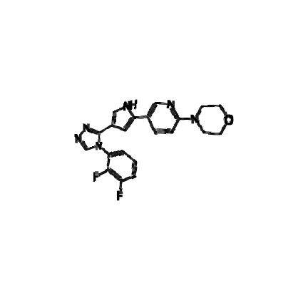 Fc1cccc(-n2cnnc2-c2c[nH]c(-c3ccc(N4CCOCC4)nc3)c2)c1F